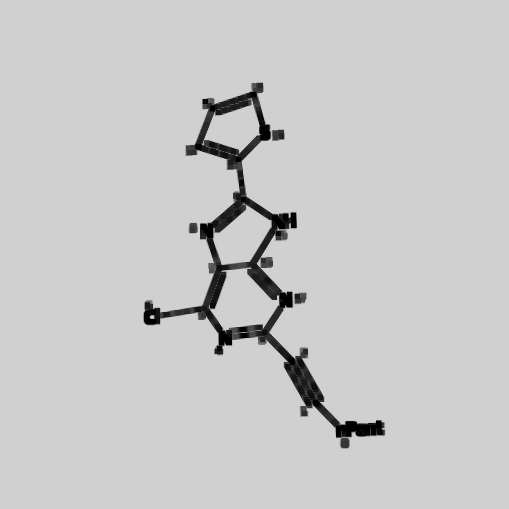 CCCCCC#Cc1nc(Cl)c2nc(-c3cccs3)[nH]c2n1